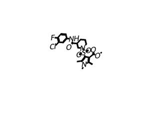 COC(=O)c1c(S(=O)(=O)N2CCCC(C(=O)Nc3ccc(F)c(Cl)c3)C2)c(C)n(C)c1C